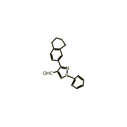 O=Cc1cn(-c2ccccc2)nc1-c1ccc2c(c1)CCCC2